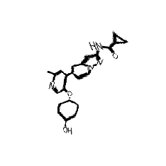 Cc1cc(-c2ccn3nc(NC(=O)C4CC4)cc3c2)c(O[C@H]2CC[C@H](O)CC2)cn1